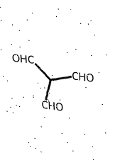 O=C[C](C=O)C=O